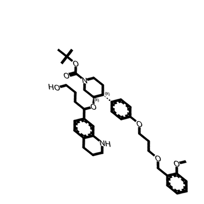 COc1ccccc1COCCCOc1ccc([C@H]2CCN(C(=O)OC(C)(C)C)C[C@@H]2OC(CCCO)c2ccc3c(c2)NCCC3)cc1